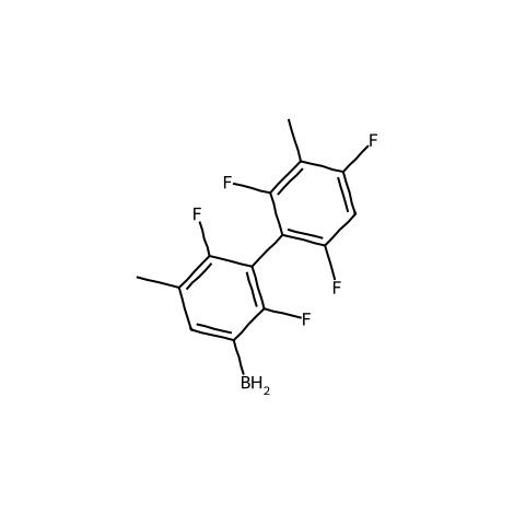 Bc1cc(C)c(F)c(-c2c(F)cc(F)c(C)c2F)c1F